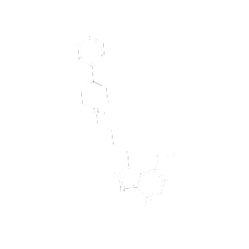 O=C(O)c1ccc(Cl)c2[nH]cc(CCCCN3CCC(c4ccccc4)CC3)c12